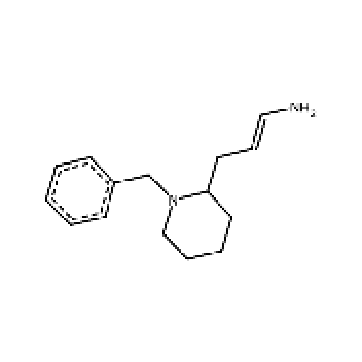 NC=CCC1CCCCN1Cc1ccccc1